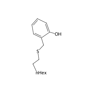 CCCCCCCCSCc1ccccc1O